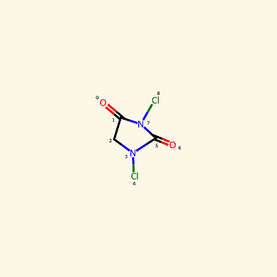 O=C1CN(Cl)C(=O)N1Cl